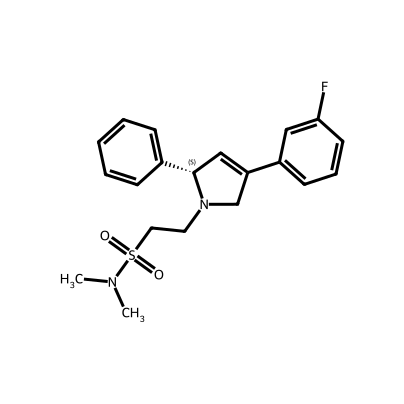 CN(C)S(=O)(=O)CCN1CC(c2cccc(F)c2)=C[C@H]1c1ccccc1